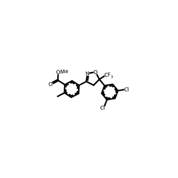 COC(=O)c1cc(C2=NOC(c3cc(Cl)cc(Cl)c3)(C(F)(F)F)C2)ccc1C